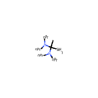 CCCN(CCC)C(C)([SiH3])N(CCC)CCC